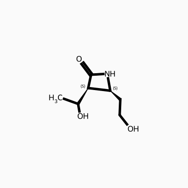 CC(O)[C@H]1C(=O)N[C@H]1CCO